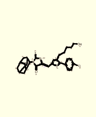 O=C1/C(=C/c2cc(CCCCCO)c(-c3ccc(Cl)cc3)s2)SC(=S)N1C1C2CC3CC(C2)CC1C3